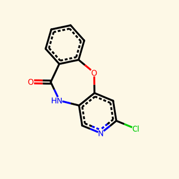 O=C1Nc2cnc(Cl)cc2Oc2ccccc21